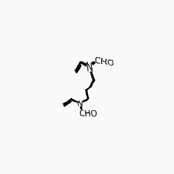 C=CN(C=O)CCCN(C=C)C=O